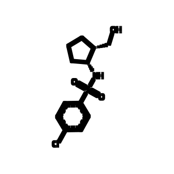 O=S(=O)(N[C@@H]1CCC[C@@H]1CO)c1ccc(Cl)cc1